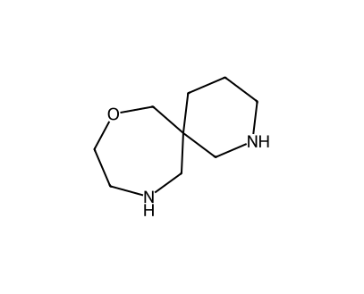 C1CNCC2(C1)CNCCOC2